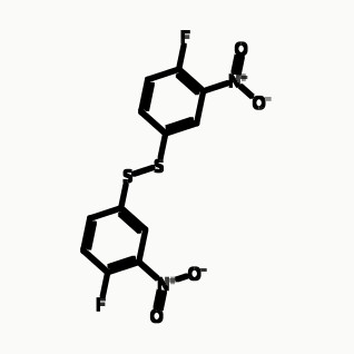 O=[N+]([O-])c1cc(SSc2ccc(F)c([N+](=O)[O-])c2)ccc1F